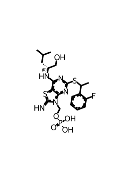 CC(C)C[C@H](CO)Nc1nc(SC(C)c2ccccc2F)nc2c1sc(=N)n2COP(=O)(O)O